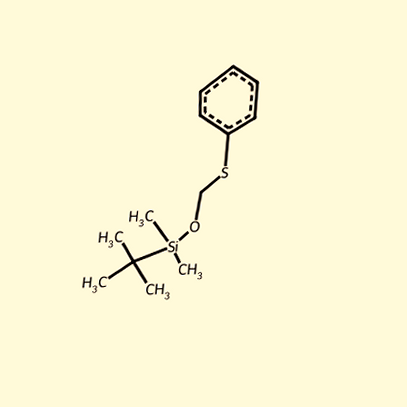 CC(C)(C)[Si](C)(C)OCSc1ccccc1